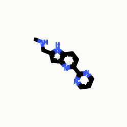 CNCc1cc2nc(-c3ncccn3)ccc2[nH]1